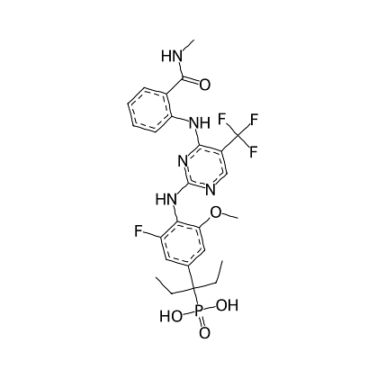 CCC(CC)(c1cc(F)c(Nc2ncc(C(F)(F)F)c(Nc3ccccc3C(=O)NC)n2)c(OC)c1)P(=O)(O)O